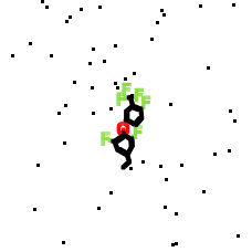 CCc1cc(F)c(Oc2ccc(F)c(C(F)(F)F)c2)c(F)c1